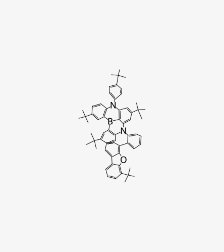 CC(C)(C)c1ccc(N2c3ccc(C(C)(C)C)cc3B3c4cc(C(C)(C)C)ccc4N(c4ccccc4-c4cccc5c4oc4c(C(C)(C)C)cccc45)c4cc(C(C)(C)C)cc2c43)cc1